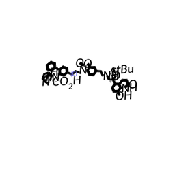 CC(C)(C)[Si](C)(C)O[C@H](CNCCc1ccc2c(c1)oc(=O)n2C/C=C/c1ccc(-c2ccccc2)c(N(C(=O)O)[C@H]2CN3CCC2CC3)c1)c1ccc(O)c2[nH]c(=O)ccc12